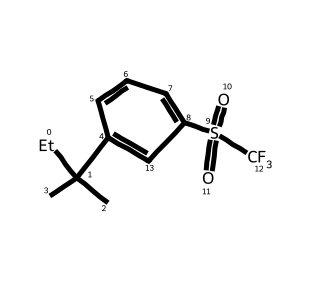 CCC(C)(C)c1cccc(S(=O)(=O)C(F)(F)F)c1